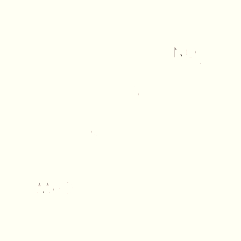 COc1ccc(SC[N+](=O)[O-])s1